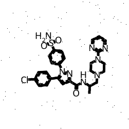 CC(CN1CCN(c2ncccn2)CC1)NC(=O)c1cc(-c2ccc(Cl)cc2)n(-c2ccc(S(N)(=O)=O)cc2)n1